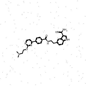 CN(C)CCOc1nccc(-c2ccc(C(=O)NCCc3ccc4[nH]cc(C(=N)N)c4c3)cc2)n1